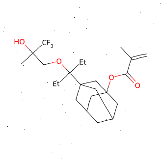 C=C(C)C(=O)OC12CC3CC(C1)CC(C(CC)(CC)OCC(C)(O)C(F)(F)F)(C3)C2